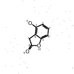 [O]c1cccc2c1CC(=O)O2